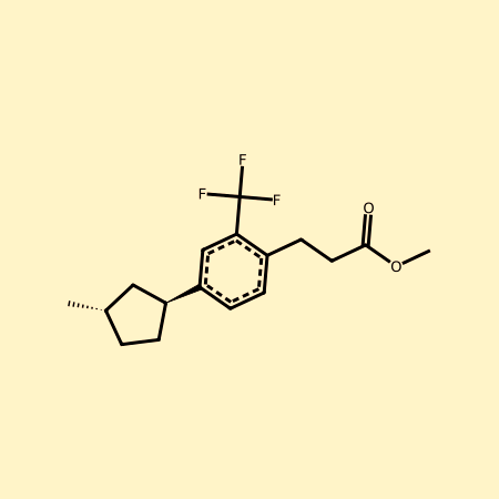 COC(=O)CCc1ccc([C@H]2CC[C@H](C)C2)cc1C(F)(F)F